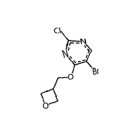 Clc1ncc(Br)c(OCC2COC2)n1